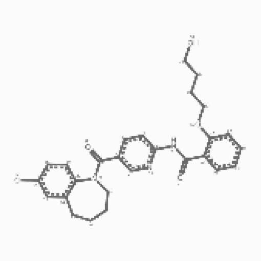 O=C(Nc1ccc(C(=O)N2CCCCc3cc(Cl)ccc32)cn1)c1ccccc1OCCCCO